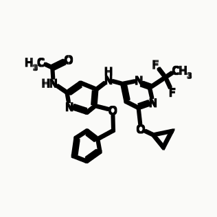 CC(=O)Nc1cc(Nc2cc(OC3CC3)nc(C(C)(F)F)n2)c(OCc2ccccc2)cn1